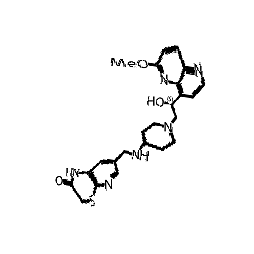 COc1ccc2nccc([C@H](O)CN3CCC(NCc4cnc5c(c4)NC(=O)CS5)CC3)c2n1